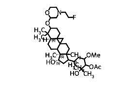 COC(C[C@@H](C)C1C[C@H](O)[C@@]2(C)C3CC[C@H]4C(C)(C)C(OC5CN(CCF)CCO5)CCC45CC35CCC12C)C(OC(C)=O)C(C)(C)O